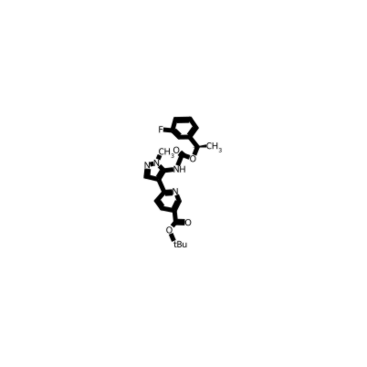 C[C@@H](OC(=O)Nc1c(-c2ccc(C(=O)OC(C)(C)C)cn2)cnn1C)c1cccc(F)c1